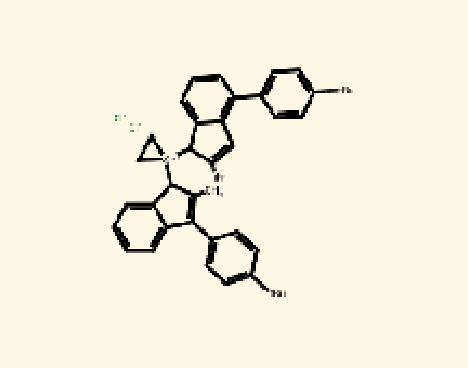 CC1=C(c2ccc(C(C)(C)C)cc2)c2ccccc2[CH]1[Zr+2]1([CH]2C(C(C)C)=Cc3c(-c4ccc(C(C)(C)C)cc4)cccc32)[CH2][CH2]1.[Cl-].[Cl-]